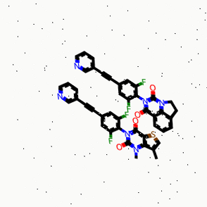 Cc1csc2c(=O)n(-c3c(F)cc(C#Cc4cccnc4)cc3F)c(=O)n(C)c12.O=c1c2cccc3c2n(c(=O)n1-c1c(F)cc(C#Cc2cccnc2)cc1F)CC3